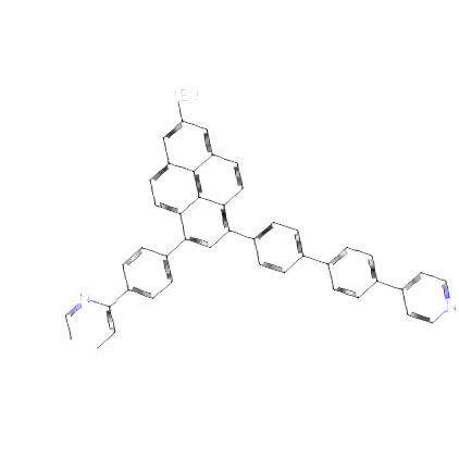 C/C=N\C(=C/C)c1ccc(-c2cc(-c3ccc(-c4ccc(-c5ccncc5)cc4)cc3)c3ccc4cc(C(C)(C)C)cc5ccc2c3c54)cc1